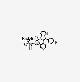 CC(C)(C)OC(=O)NCCOc1cnccc1-c1c(-c2ccc(F)cc2)c2ncccc2n1C(=O)OC(C)(C)C